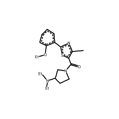 CCOc1ccccc1-c1nc(C)c(C(=O)N2CCC(N(CC)CC)C2)s1